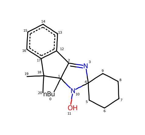 CCCCC12C(=NC3(CCCCC3)N1O)c1ccccc1C2(C)C